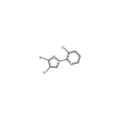 CCc1cn(-c2ncccc2Cl)nc1Br